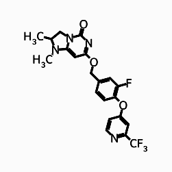 CC1Cn2c(cc(OCc3ccc(Oc4ccnc(C(F)(F)F)c4)c(F)c3)nc2=O)N1C